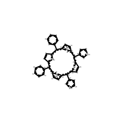 C1=Cc2nc1c(-c1ccccc1)c1ccc([nH]1)c(-c1ccsc1)c1nc(c(-c3ccsc3)c3ccc([nH]3)c2-c2ccccc2)C=C1